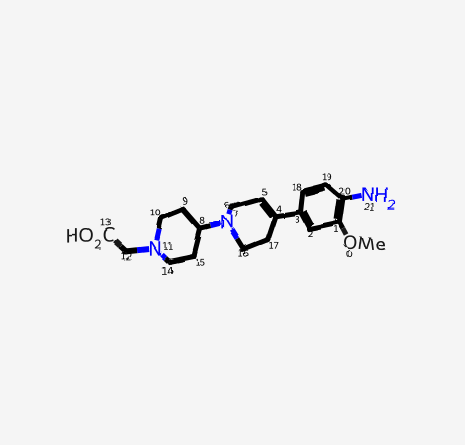 COc1cc(C2=CCN(C3CCN(CC(=O)O)CC3)CC2)ccc1N